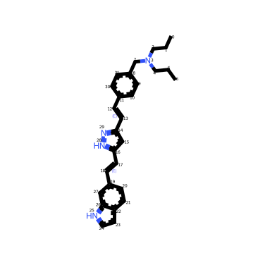 CCCN(CCC)Cc1ccc(/C=C/c2cc(/C=C/c3ccc4cc[nH]c4c3)[nH]n2)cc1